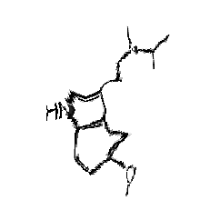 COc1ccc2[nH]cc(CCN(C)C(C)C)c2c1